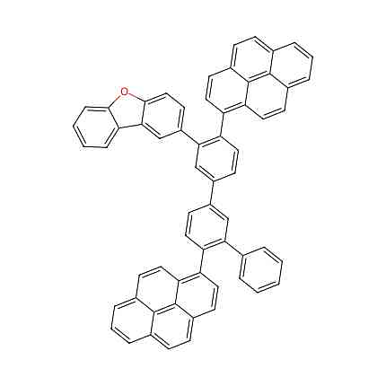 c1ccc(-c2cc(-c3ccc(-c4ccc5ccc6cccc7ccc4c5c67)c(-c4ccc5oc6ccccc6c5c4)c3)ccc2-c2ccc3ccc4cccc5ccc2c3c45)cc1